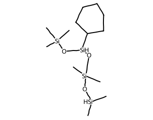 C[SiH](C)O[Si](C)(C)O[SiH](O[Si](C)(C)C)C1CCCCC1